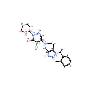 Cc1ccccc1C(C)n1nnc2c1CCN(c1cnn(C3CCCCO3)c(=O)c1Cl)C2